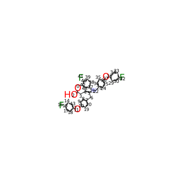 O=C(O)CC1=C(Cc2ccc(Oc3ccc(F)cc3)cc2)/C(=C/c2ccc(Oc3ccc(F)cc3)cc2)c2ccc(F)cc21